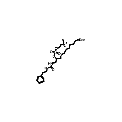 CCCCCCCCCCCCCCCCOCC(CNC(=O)NCCc1ccccc1)OP(=O)([O-])OCC[N+](C)(C)C